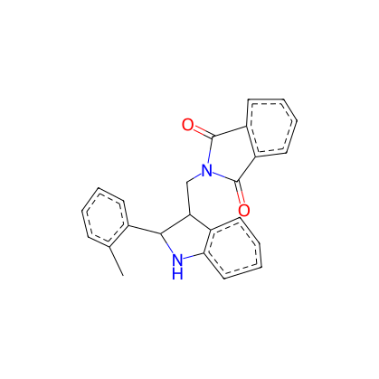 Cc1ccccc1C1Nc2ccccc2C1CN1C(=O)c2ccccc2C1=O